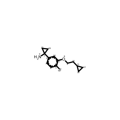 NC1(c2ccc(F)c(OCCC3CC3)c2)CC1